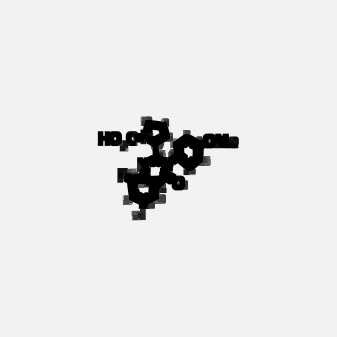 COc1ccc(-n2c([C@@H]3CCCN3C(=O)O)nc3c(F)cc(I)cc3c2=O)cc1